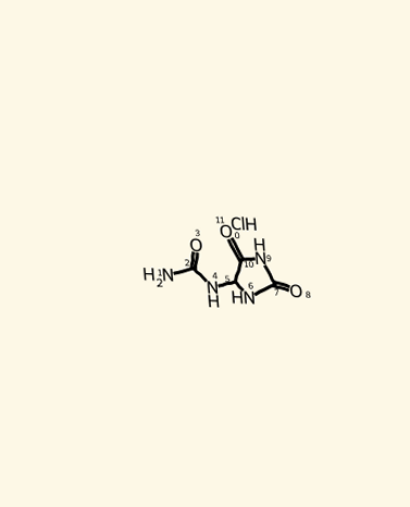 Cl.NC(=O)NC1NC(=O)NC1=O